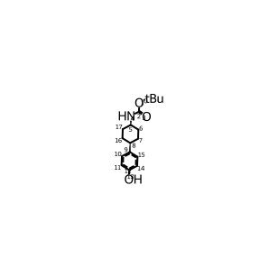 CC(C)(C)OC(=O)N[C@H]1CC[C@@H](c2ccc(O)cc2)CC1